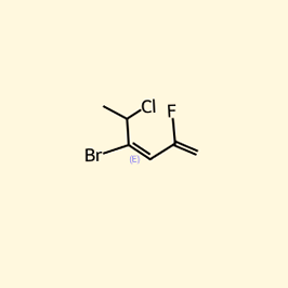 C=C(F)/C=C(/Br)C(C)Cl